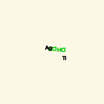 Cl.Cl.[Ag].[Ti]